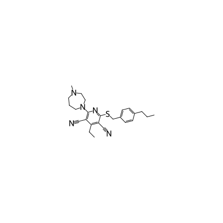 CCCc1ccc(CSc2nc(N3CCCN(C)CC3)c(C#N)c(CC)c2C#N)cc1